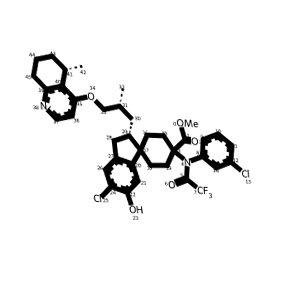 COC(=O)C1(N(C(=O)C(F)(F)F)c2cccc(Cl)c2)CCC2(CC1)c1cc(O)c(Cl)cc1C[C@@H]2C[C@@H](C)COc1ccnc2c1[C@@H](C)CCC2